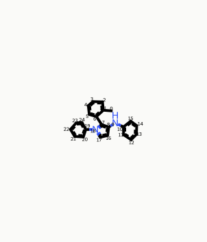 Cc1ccccc1-c1c(Nc2ccccc2)ccn1-c1ccccc1